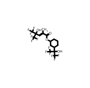 CC(=CC(O)(C(F)(F)F)C(F)(F)F)C(=O)OC1CCCC(C(O)(C(F)(F)F)C(F)(F)F)C1